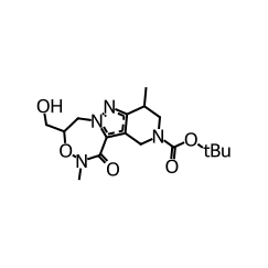 CC1CN(C(=O)OC(C)(C)C)Cc2c1nn1c2C(=O)N(C)OC(CO)C1